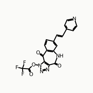 O=C(On1nnc2c(=O)[nH]c3cc(C=Cc4ccncc4)ccc3c(=O)c21)C(F)(F)F